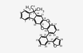 CC1(C)c2ccccc2-c2cc3c(cc21)Oc1cccc(-c2ccccc2-c2ccco2)c1O3